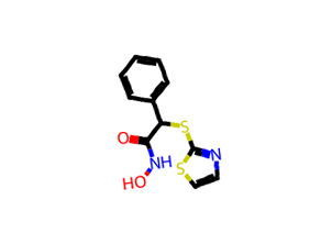 O=C(NO)C(Sc1nccs1)c1ccccc1